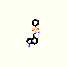 O=S(=O)(NCc1cccc2[nH]ccc12)c1ccccc1